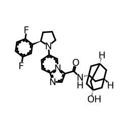 O=C(N[C@]12C[C@@H]3C[C@@H](C[C@@](O)(C3)C1)C2)c1cnc2ccc(N3CCC[C@@H]3c3cc(F)ccc3F)cn12